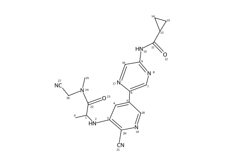 CC(Nc1cc(-c2cnc(NC(=O)C3CC3)cn2)cnc1C#N)C(=O)N(C)CC#N